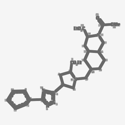 CCOC(=O)C1CC(n2nnc(-c3ccccc3)n2)CN1CC1CCC2CN(C(=O)OC)C(C(=O)OCC)CC2C1